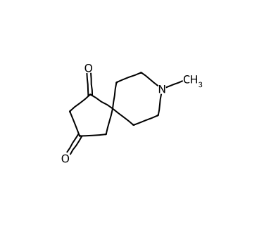 CN1CCC2(CC1)CC(=O)CC2=O